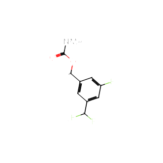 CNC(=O)OCc1cc(F)cc(C(F)F)c1